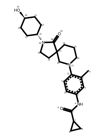 Cc1cc(NC(=O)C2CC2)ccc1N1CCCC2(CCN([C@H]3CC[C@H](O)CC3)C2=O)C1